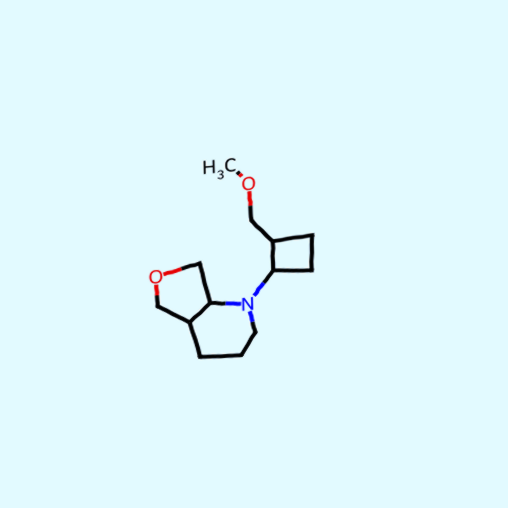 COCC1CCC1N1CCCC2COCC21